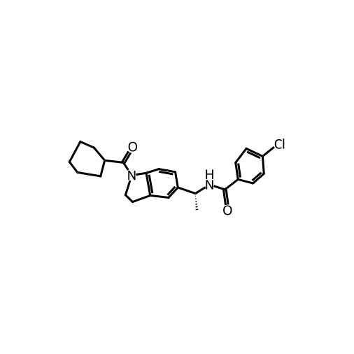 C[C@@H](NC(=O)c1ccc(Cl)cc1)c1ccc2c(c1)CCN2C(=O)C1CCCCC1